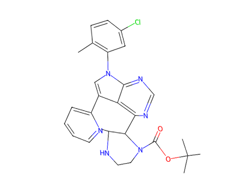 Cc1ccc(Cl)cc1-n1cc(-c2ccccn2)c2c(C3C(C)NCCN3C(=O)OC(C)(C)C)ncnc21